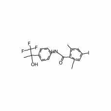 Cc1cc(I)cc(C)c1C(=O)Nc1ccc(C(C)(O)C(F)(F)F)cc1